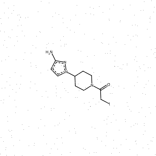 Nc1ccn(C2CCN(C(=O)CI)CC2)n1